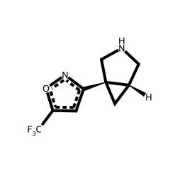 FC(F)(F)c1cc([C@@]23CNC[C@@H]2C3)no1